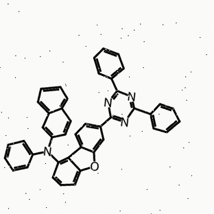 c1ccc(-c2nc(-c3ccccc3)nc(-c3ccc4c(c3)oc3cccc(N(c5ccccc5)c5ccc6ccccc6c5)c34)n2)cc1